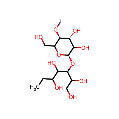 CCC(O)C(O)C(O[C@H]1OC(CO)[C@@H](OI)[C@H](O)C1O)C(O)CO